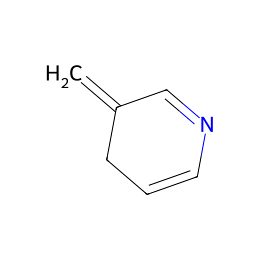 C=C1C=NC=CC1